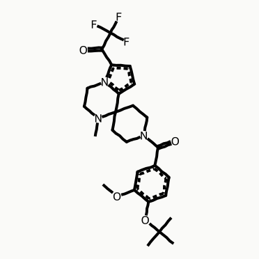 COc1cc(C(=O)N2CCC3(CC2)c2ccc(C(=O)C(F)(F)F)n2CCN3C)ccc1OC(C)(C)C